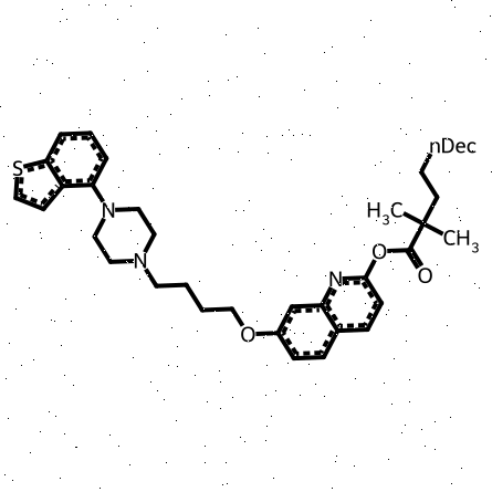 CCCCCCCCCCCCC(C)(C)C(=O)Oc1ccc2ccc(OCCCCN3CCN(c4cccc5sccc45)CC3)cc2n1